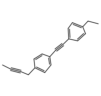 CC#CCc1ccc(C#Cc2ccc(CC)cc2)cc1